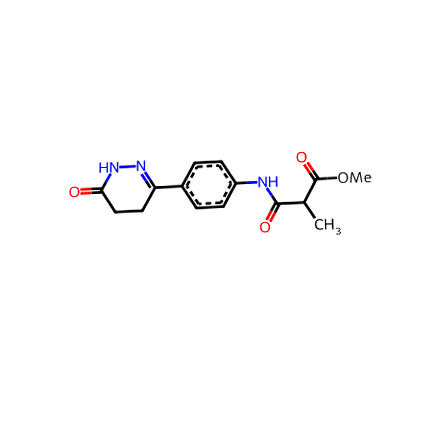 COC(=O)C(C)C(=O)Nc1ccc(C2=NNC(=O)CC2)cc1